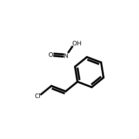 ClC=Cc1ccccc1.O=NO